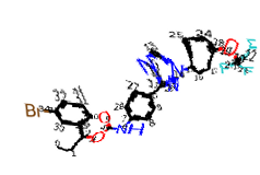 CCC(OC(=O)Nc1ccc(-c2ncn(-c3ccc(OC(F)(F)F)cc3)n2)cc1)c1cccc(Br)c1